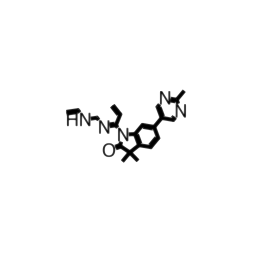 C=CNC/N=C(\C=C)N1C(=O)C(C)(C)c2ccc(-c3cnc(C)nc3)cc21